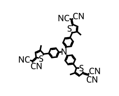 CC1=CC(=C(C#N)C#N)SC1c1ccc(N(c2ccc(C3SC(=C(C#N)C#N)C=C3C)cc2)c2ccc(C3SC(=C(C#N)C#N)C=C3C)cc2)cc1